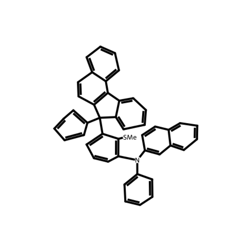 CSc1c(N(c2ccccc2)c2ccc3ccccc3c2)cccc1C1(c2ccccc2)c2ccccc2-c2c1ccc1ccccc21